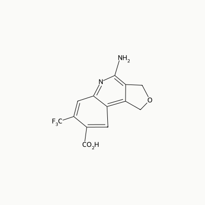 Nc1nc2cc(C(F)(F)F)c(C(=O)O)cc2c2c1COC2